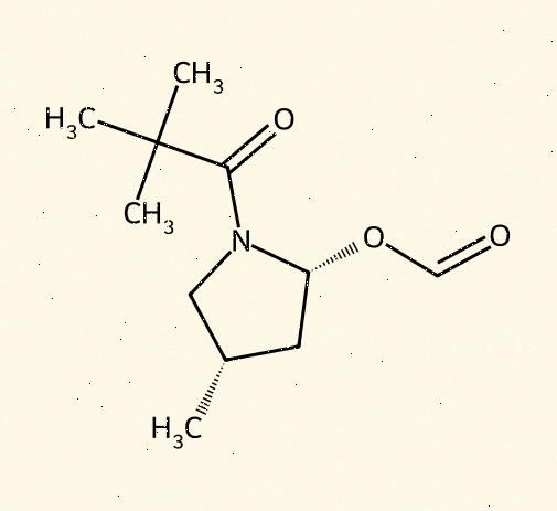 C[C@H]1C[C@@H](OC=O)N(C(=O)C(C)(C)C)C1